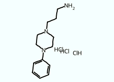 Cl.Cl.Cl.NCCCN1CCN(c2ccccc2)CC1